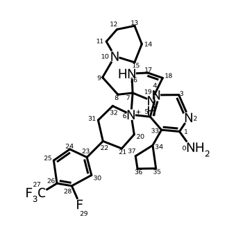 Nc1ncnc([N+]2(C3(CCN4CCCCC4)NC=CN3)CCC(c3ccc(C(F)(F)F)c(F)c3)CC2)c1C1CCC1